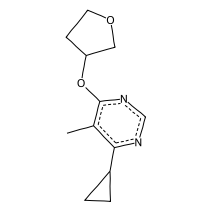 Cc1c(OC2CCOC2)ncnc1C1CC1